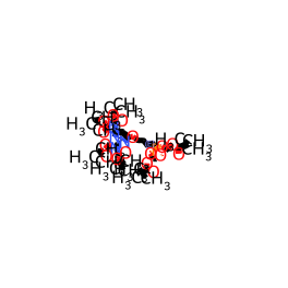 CC(C)(C)OC(=O)N(C(=O)OC(C)(C)C)c1cc(OCC/C=C/P(=O)(OCOC(=O)C(C)(C)C)OCOC(=O)C(C)(C)C)nc(N(C(=O)OC(C)(C)C)C(=O)OC(C)(C)C)n1